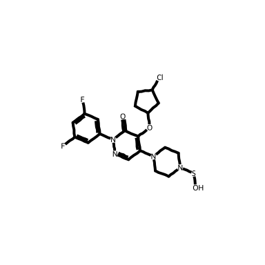 O=c1c(OC2CCC(Cl)C2)c(N2CCN(SO)CC2)cnn1-c1cc(F)cc(F)c1